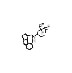 CCC(CC(F)(F)C(F)(F)F)NCC1=CC=C2C=c3ccccc3=C21